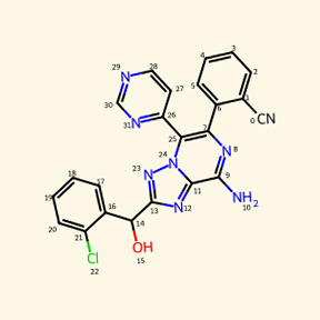 N#Cc1ccccc1-c1nc(N)c2nc(C(O)c3ccccc3Cl)nn2c1-c1ccncn1